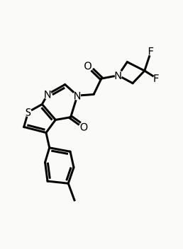 Cc1ccc(-c2csc3ncn(CC(=O)N4CC(F)(F)C4)c(=O)c23)cc1